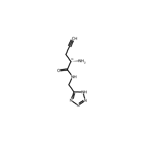 C#CC[C@H](N)C(=O)NCc1nnn[nH]1